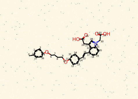 Cc1ccc(OCCCCOc2ccc(/C=C/c3cccc4c3c(CC(=O)O)cn4CC(=O)O)cc2)cc1